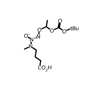 CC(O/N=[N+](\[O-])N(C)CCCC(=O)O)OC(=O)OC(C)(C)C